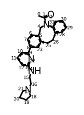 CC(=O)N1Cc2ccc(-c3cccc(NCCN4CCCC4)n3)cc2CCc2ccccc21